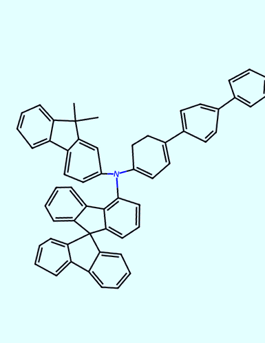 CC1(C)c2ccccc2-c2ccc(N(C3=CC=C(c4ccc(-c5ccccc5)cc4)CC3)c3cccc4c3-c3ccccc3C43c4ccccc4-c4ccccc43)cc21